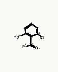 Cc1cccc(Cl)c1C(=O)C(C)C